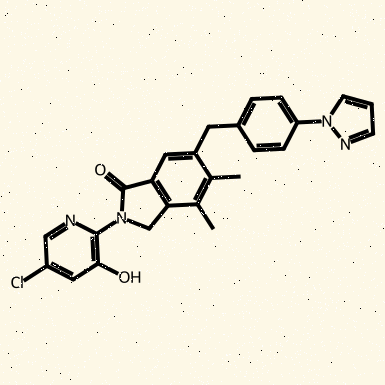 Cc1c(Cc2ccc(-n3cccn3)cc2)cc2c(c1C)CN(c1ncc(Cl)cc1O)C2=O